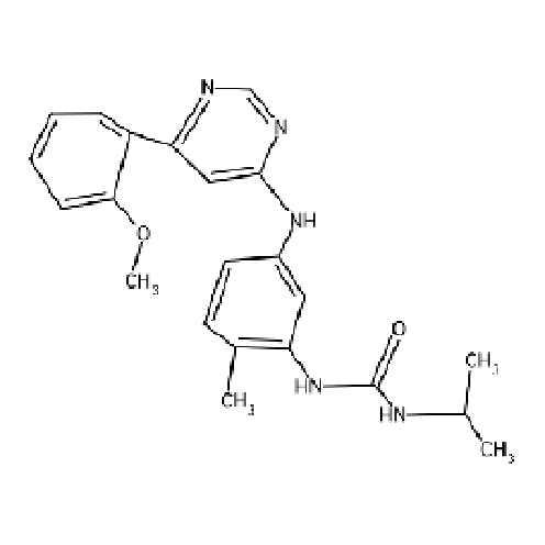 COc1ccccc1-c1cc(Nc2ccc(C)c(NC(=O)NC(C)C)c2)ncn1